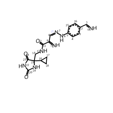 N=Cc1ccc(N/N=C\C(=N)C(=O)NCC2(C3CC3)NC(=O)NC2=O)cc1